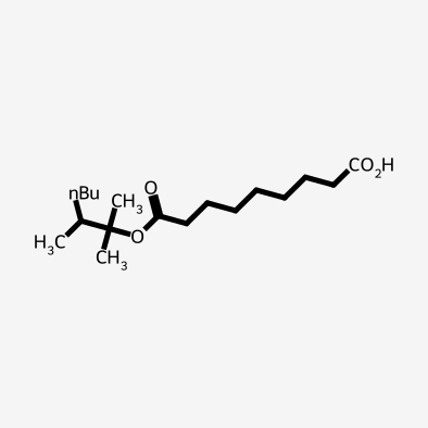 CCCCC(C)C(C)(C)OC(=O)CCCCCCCC(=O)O